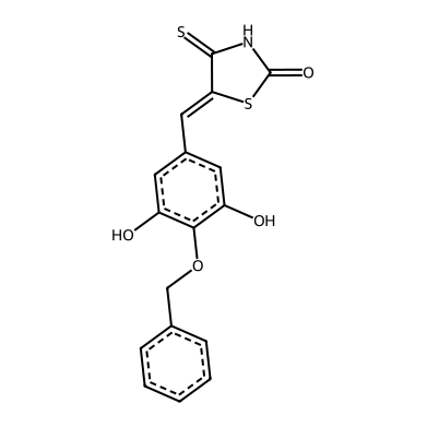 O=C1NC(=S)C(=Cc2cc(O)c(OCc3ccccc3)c(O)c2)S1